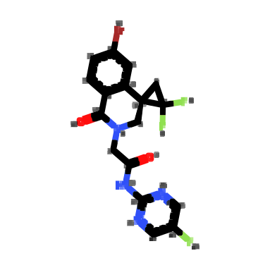 O=C(CN1C[C@]2(CC2(F)F)c2cc(Br)ccc2C1=O)Nc1ncc(F)cn1